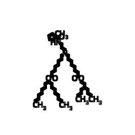 CCCCCCCCC(CCCCCCCC)OC(=O)CCCCCCCN(CCCCCCCC(=O)OCCC(CCCC)CCCC)CCCNC(=O)C1(C)CCCC1